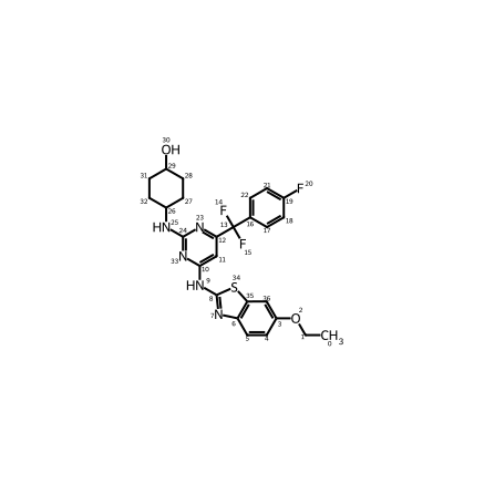 CCOc1ccc2nc(Nc3cc(C(F)(F)c4ccc(F)cc4)nc(NC4CCC(O)CC4)n3)sc2c1